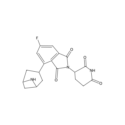 O=C1CCC(N2C(=O)c3cc(F)cc(C4CC5CC(C4)N5)c3C2=O)C(=O)N1